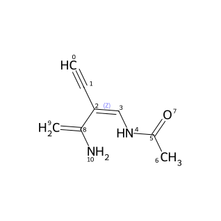 C#C/C(=C/NC(C)=O)C(=C)N